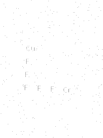 [Cr+3].[Cu+2].[F-].[F-].[F-].[F-].[F-]